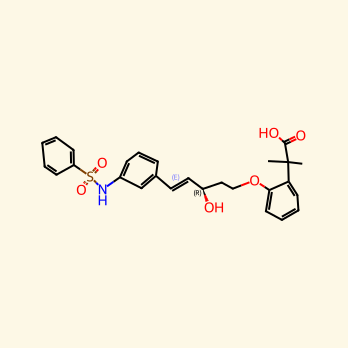 CC(C)(C(=O)O)c1ccccc1OCC[C@@H](O)/C=C/c1cccc(NS(=O)(=O)c2ccccc2)c1